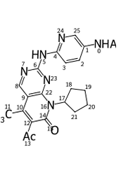 CC(=O)Nc1ccc(Nc2ncc3c(C)c(C(C)=O)c(=O)n(C4CCCC4)c3n2)nc1